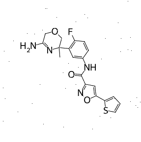 CC1(c2cc(NC(=O)c3cc(-c4cccs4)on3)ccc2F)COCC(N)=N1